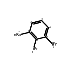 [CH2]CCCc1cccc(C(C)C)c1C(C)C